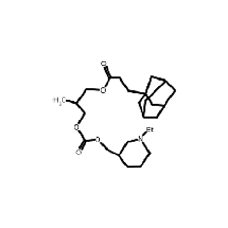 [CH2]C(COC(=O)CCC12CC3CC(CC(C3)C1)C2)COC(=O)OCC1CCCN(CC)C1